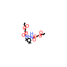 C=CC(=O)OCCOC(=O)NC[C@]1(C)CC(NC(=O)OCCOC(=O)C=C)CC(C)(C)C1